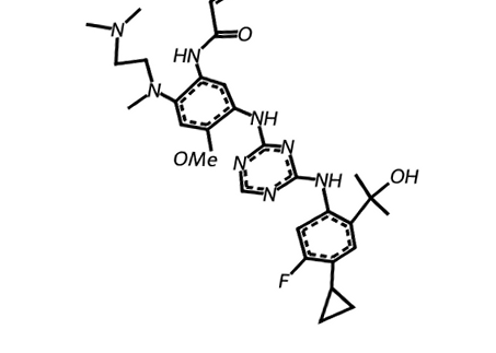 C=CC(=O)Nc1cc(Nc2ncnc(Nc3cc(F)c(C4CC4)cc3C(C)(C)O)n2)c(OC)cc1N(C)CCN(C)C